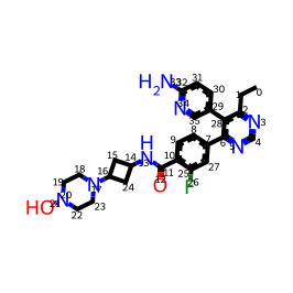 CCc1ncnc(-c2ccc(C(=O)NC3CC(N4CCN(O)CC4)C3)c(F)c2)c1-c1ccc(N)nc1